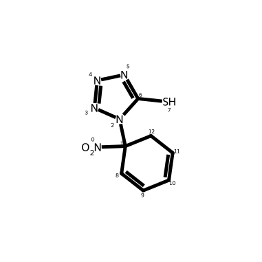 O=[N+]([O-])C1(n2nnnc2S)C=CC=CC1